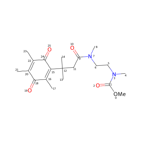 COC(=O)N(C)CCN(C)C(=O)CC(C)(C)C1=C(C)C(=O)C(C)=C(C)C1=O